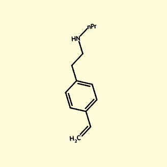 C=Cc1ccc(CCNCCC)cc1